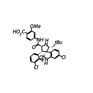 COc1cc(NC(=O)[C@H]2N[C@H](CC(C)(C)C)[C@]3(C(=O)Nc4cc(Cl)ccc43)[C@@H]2c2cccc(Cl)c2F)ccc1C(=O)O